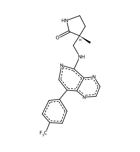 C[C@]1(CNc2ncc(-c3ccc(C(F)(F)F)cc3)c3nccnc23)CCNC1=O